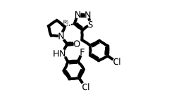 O=C(Nc1ccc(Cl)cc1F)N1CCC[C@@H]1c1nnsc1Cc1ccc(Cl)cc1